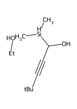 CCO.C[SiH](C)C(O)C#CC(C)(C)C